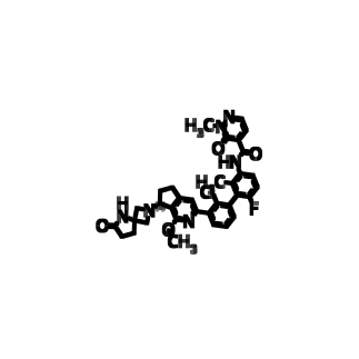 COc1nc(-c2cccc(-c3c(F)ccc(NC(=O)c4ccnn(C)c4=O)c3C)c2Cl)cc2c1[C@@H](N1CC3(CCC(=O)N3)C1)CC2